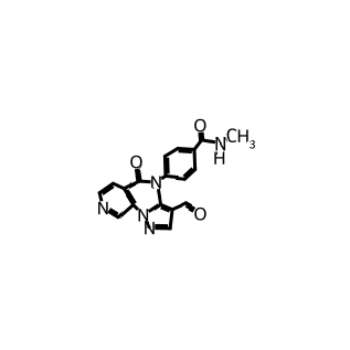 CNC(=O)c1ccc(-n2c(=O)c3ccncc3n3ncc(C=O)c23)cc1